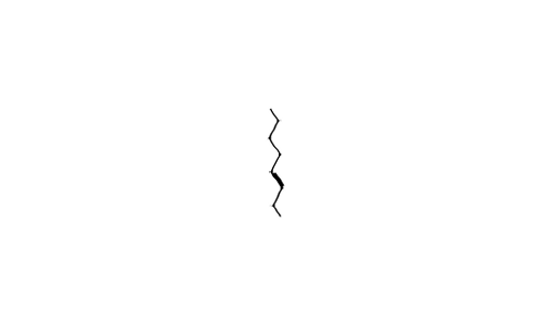 CCCCCCC=CC[PH]